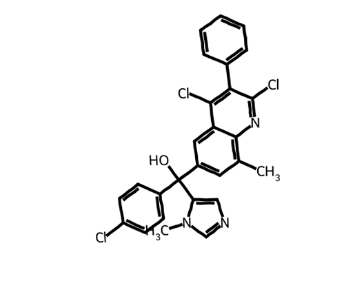 Cc1cc(C(O)(c2ccc(Cl)cc2)c2cncn2C)cc2c(Cl)c(-c3ccccc3)c(Cl)nc12